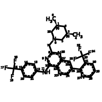 C[C@@H]1C[C@H](C)CN(Cc2nc(Nc3ccc(C(F)(F)F)cc3)c3ncc(-c4ncccc4C(F)(F)F)cc3n2)C1